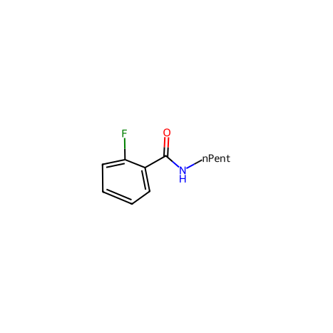 [CH2]CCCCNC(=O)c1ccccc1F